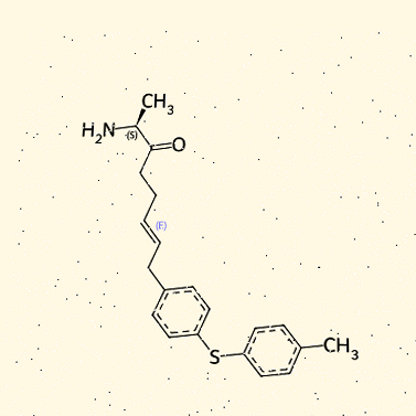 Cc1ccc(Sc2ccc(C/C=C/CCC(=O)[C@H](C)N)cc2)cc1